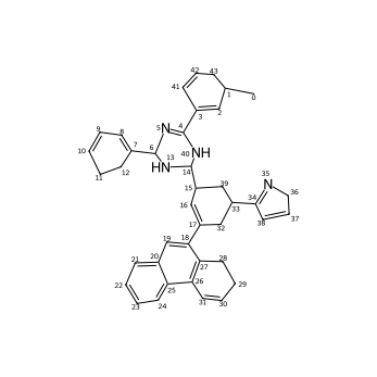 CC1C=C(C2=NC(C3=CC=CCC3)NC(C3C=C(c4cc5ccccc5c5c4CCC=C5)CC(C4=NCC=C4)C3)N2)C=CC1